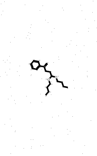 C=C(CCC(OCCCC)OCCCC)c1ccccc1